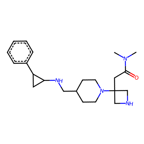 CN(C)C(=O)CC1(N2CCC(CNC3CC3c3ccccc3)CC2)CNC1